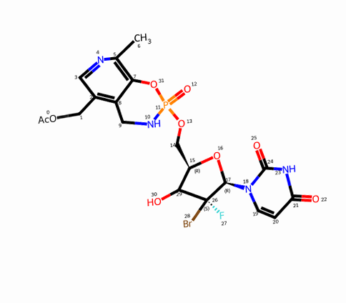 CC(=O)OCc1cnc(C)c2c1CNP(=O)(OC[C@H]1O[C@@H](n3ccc(=O)[nH]c3=O)[C@@](F)(Br)C1O)O2